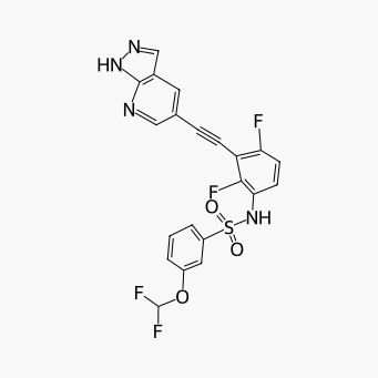 O=S(=O)(Nc1ccc(F)c(C#Cc2cnc3[nH]ncc3c2)c1F)c1cccc(OC(F)F)c1